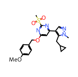 COc1ccc(COc2cc(-c3cnn(C)c3CC3CC3)nc(S(C)(=O)=O)n2)cc1